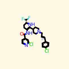 O=C(NC1=C(C2CCN(C/C=C/c3ccc(Cl)cc3)CC2)N[C@@H](C(F)F)CC1)c1ccnc(Cl)c1